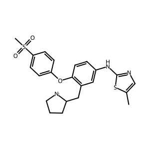 Cc1cnc(Nc2ccc(Oc3ccc(S(C)(=O)=O)cc3)c(CC3CCC[N]3)c2)s1